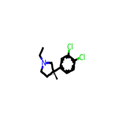 CCN1CC[C@@](C)(c2ccc(Cl)c(Cl)c2)C1